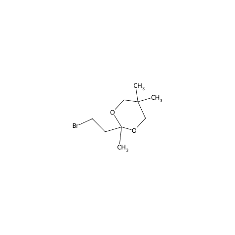 CC1(C)COC(C)(CCBr)OC1